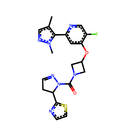 Cc1cnn(C)c1-c1cc(OC2CN(C(=O)N3N=CCC3c3nccs3)C2)c(F)cn1